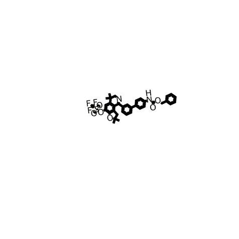 CC1(C)Cc2c(c(OS(=O)(=O)C(F)(F)F)cc3c2C(c2cccc(-c4ccc(NC(=O)OCc5ccccc5)cc4)c2)=NCC3(C)C)O1